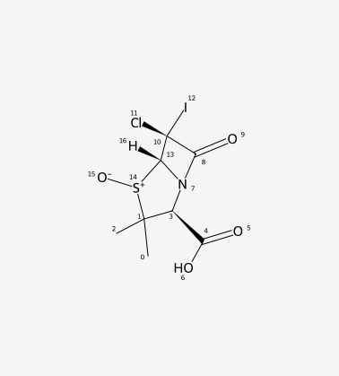 CC1(C)[C@H](C(=O)O)N2C(=O)[C@@](Cl)(I)[C@H]2[S+]1[O-]